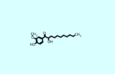 CCCCCCCCCC(O)C(=O)c1ccc(O)c(OC)c1